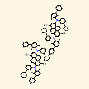 Cc1ccc(-c2ccccc2)c(C)c1N(c1cccc(C2CCCCC2)c1)c1cc(C(C)C)c2ccc3c(N(c4cccc(C5CCCCC5c5ccc(-c6ccc(C)c(N(c7cccc(C8CCCC8)c7)c7cc(C(C)C)c8ccc9c(N(c%10cccc(C%11CCCC%11)c%10)c%10c(C)ccc(-c%11ccccc%11)c%10C)cc(C(C)C)c%10ccc7c8c%109)c6C)cc5)c4)c4c(C)ccc(-c5ccccc5)c4C)cc(C(C)C)c4ccc1c2c43